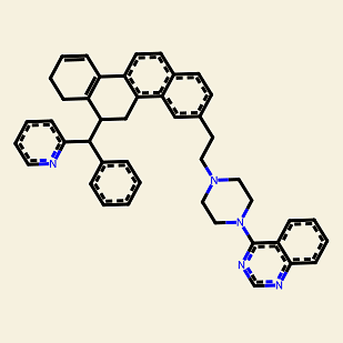 C1=CC2=C(CC1)C(C(c1ccccc1)c1ccccn1)Cc1c2ccc2ccc(CCN3CCN(c4ncnc5ccccc45)CC3)cc12